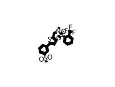 CN(Cc1ccc(-c2cccc(S(C)(=O)=O)c2)s1)S(=O)(=O)c1ccccc1C(F)(F)F